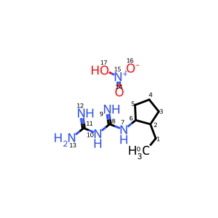 CCC1CCCC1NC(=N)NC(=N)N.O=[N+]([O-])O